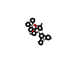 Cc1ccc2c(c1)C1(c3cc(C)ccc3N2c2cc3c4ccccc4n4c5ccccc5c(c2)c34)c2ccccc2[Si](c2ccccc2)(c2ccccc2)c2ccccc21